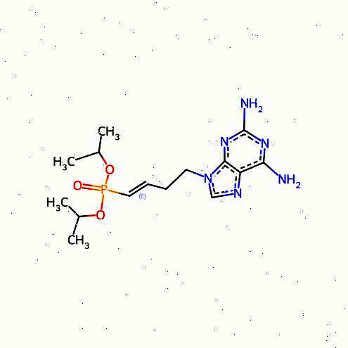 CC(C)OP(=O)(/C=C/CCn1cnc2c(N)nc(N)nc21)OC(C)C